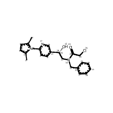 Cc1ccc(C)n1-c1ccc([C@H](O)CN(Cc2ccccc2)C(=O)CCl)cn1